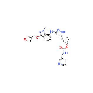 Cn1nc(OCC2CCOC2)c2cccc(NC3=NNC([C@H]4CC[C@@H](OC(=O)NCC5=CN=CCC5)C4)C3)c21